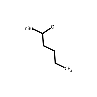 CCCCC([O])CCCC(F)(F)F